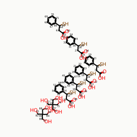 O=C(O)CC(S)c1ccccc1.O=C(O)CC(S)c1ccccc1.O=C(O)CC(S)c1ccccc1.O=C(O)CC(S)c1ccccc1.O=C(O)CC(S)c1ccccc1.O=C(O)CC(S)c1ccccc1.OCC(CO)(CO)CO.OCC(CO)(CO)CO